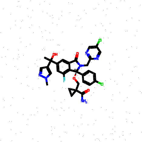 Cn1cc(C(C)(O)c2cc(F)c3c(c2)C(=O)N(Cc2ncc(Cl)cn2)[C@@]3(OCC2(C(N)=O)CC2)c2ccc(Cl)cc2)cn1